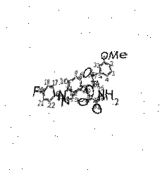 COc1cccc([C@H](Oc2ccc3c(cnn3-c3ccc(F)cc3)c2)[C@H](C)OC(=O)C(N)=O)c1